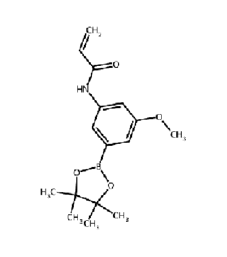 C=CC(=O)Nc1cc(OC)cc(B2OC(C)(C)C(C)(C)O2)c1